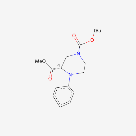 COC(=O)[C@@H]1CN(C(=O)OC(C)(C)C)CCN1c1ccccc1